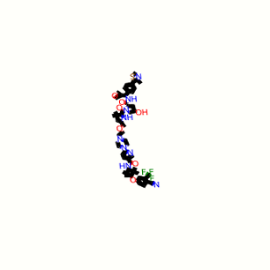 Cc1ncsc1-c1ccc(C(NC(=O)[C@@H]2C[C@@H](O)CN2C(=O)C2NC(COCCN3CCN(c4ccc(C(=O)N[C@H]5C(C)(C)[C@H](Oc6ccc(C#N)c(C(F)(F)F)c6)C5(C)C)cn4)CC3)=CC2(C)C)C2COC2)cc1